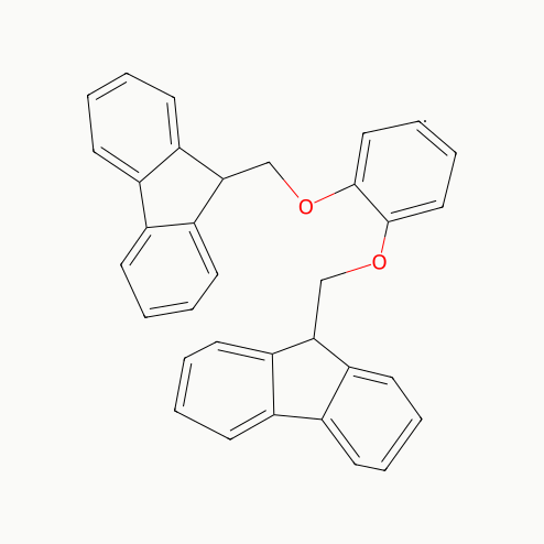 [c]1ccc(OCC2c3ccccc3-c3ccccc32)c(OCC2c3ccccc3-c3ccccc32)c1